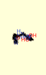 Cc1ccc2c(c1)N(O)N=C(NCCCN(C)CCCNC(=O)c1cccc3ccc(-c4ccncc4)nc13)N2O